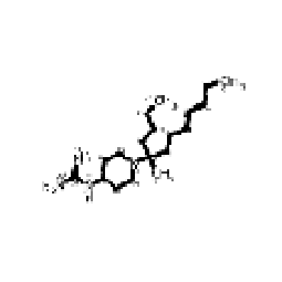 CCCCCCCC(C)(CCCC)N1CCC(NC(=N)N)CC1